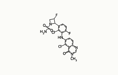 Cn1cnc2ccc(Nc3c(F)ccc(C4C(F)CN4S(N)(=O)=O)c3Cl)c(Cl)c2c1=O